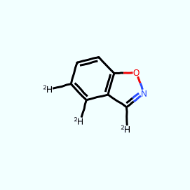 [2H]c1ccc2onc([2H])c2c1[2H]